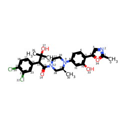 Cc1ncc(-c2ccc(N3CCN(C(=O)C(c4ccc(Cl)c(Cl)c4)C(C)(C)O)C[C@@H]3C)cc2O)o1